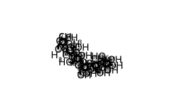 C[C@@H]1OC(CO)[C@@H](O[C@@H]2OC(CO)[C@@H](O[C@@H]3OC(CO)[C@@H](O)C(O[C@H]4O[C@H](CO)[C@@H](O)C(O)C4O[C@@H]4OC(CO)[C@@H](O[C@@H]5OC(CO)[C@H](O)C(O)[C@@H]5O)C(O)[C@@H]4C)[C@H]3O)C(O)[C@@H]2C)C(O)[C@@H]1C